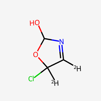 [2H]C1=NC(O)OC1([2H])Cl